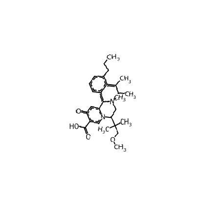 CCCc1cccc(=C2\c3cc(=O)c(C(=O)O)cn3C(C(C)(C)COC)CN2C)/c1=C(/C)CC